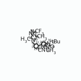 CC1c2nnc(C(F)(F)F)n2C(C)CN1Cc1ccc(C#N)c(-c2ccc3c(n2)n(C)c(=O)n3CC(C)(C)C)c1